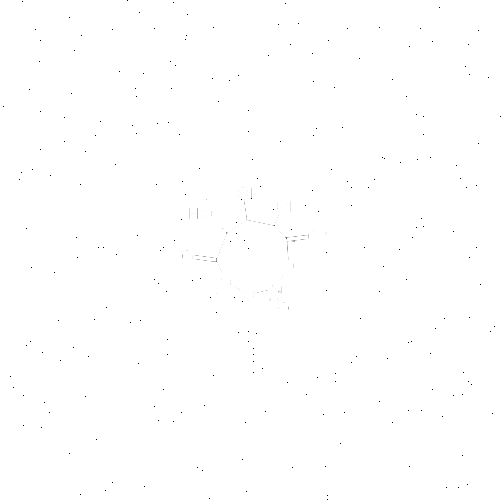 O=C1OO[Si](=O)OC(=O)C(O)C(O)C1O